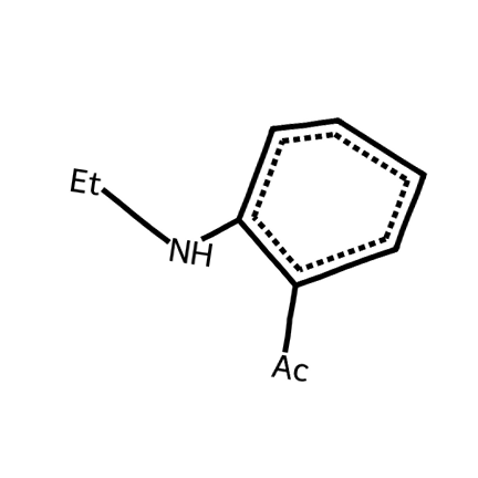 CCNc1ccccc1C(C)=O